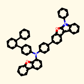 c1ccc(-c2ccccc2-c2ccc(N(c3ccc(-c4ccc5c(c4)oc4c5c5ccccc5n4-c4ccccc4)cc3)c3cccc4c3oc3ccccc34)cc2)cc1